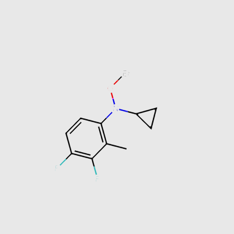 CCON(c1ccc(F)c(F)c1C)C1CC1